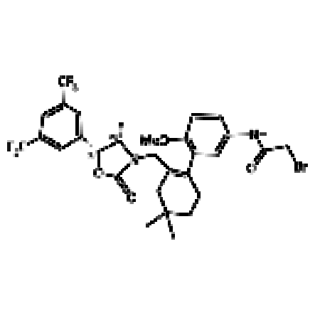 COc1ccc(NC(=O)CBr)cc1C1=C(CN2C(=O)O[C@H](c3cc(C(F)(F)F)cc(C(F)(F)F)c3)[C@@H]2C)CC(C)(C)CC1